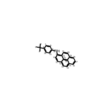 CC(C)(C)c1ccc(Nc2ccc3ccc4cccc5ccc2c3c45)cc1